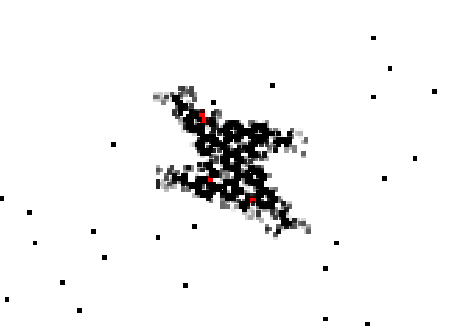 C=C(C)C(=O)Oc1ccc(-c2ccc(OC(=O)C(=C)C)c(C(c3ccc(C(c4cc(-c5ccc(OC(=O)C(=C)C)cc5)ccc4OC(=O)C(=C)C)c4cc(-c5ccc(OC(=O)C(=C)C)cc5)ccc4OC(=O)C(=C)C)cc3)c3cc(-c4ccc(OC(=O)C(=C)C)cc4)ccc3OC(=O)C(=C)C)c2)cc1